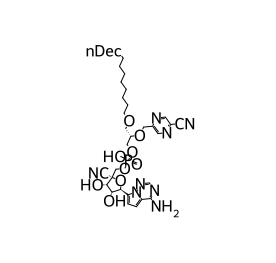 CCCCCCCCCCCCCCCCCCOC[C@@H](COP(=O)(O)OC[C@@]1(C#N)O[C@@H](c2ccc3c(N)ncnn23)[C@H](O)[C@@H]1O)OCc1cnc(C#N)cn1